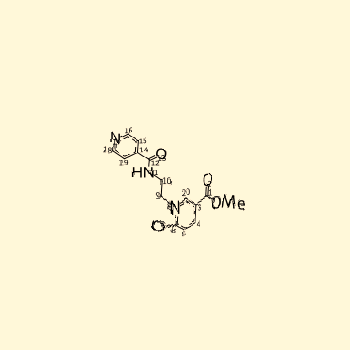 COC(=O)c1ccc(=O)n(CCNC(=O)c2ccncc2)c1